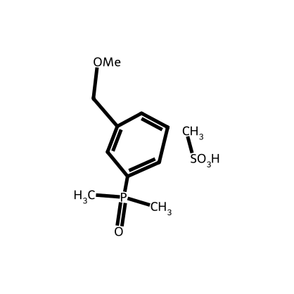 COCc1cccc(P(C)(C)=O)c1.CS(=O)(=O)O